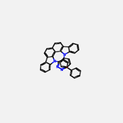 c1ccc(-c2cc(-n3c4ccccc4c4ccc5ccc6c7ccccc7n(-c7ccccc7)c6c5c43)cnn2)cc1